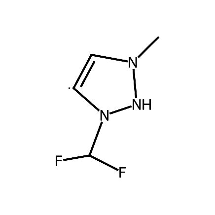 CN1C=[C]N(C(F)F)N1